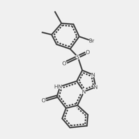 Cc1cc(Br)c(S(=O)(=O)c2nnn3c2[nH]c(=O)c2ccccc23)cc1C